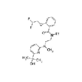 CCN(CCN(C)c1cccc(C(C)(C)O)n1)C(=O)c1ccccc1OCC(F)F